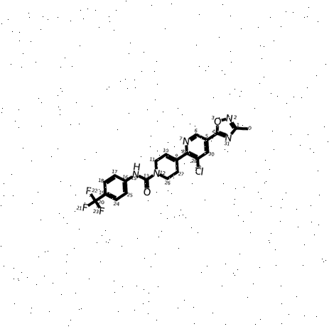 Cc1noc(-c2cnc(C3=CCN(C(=O)Nc4ccc(C(F)(F)F)cc4)CC3)c(Cl)c2)n1